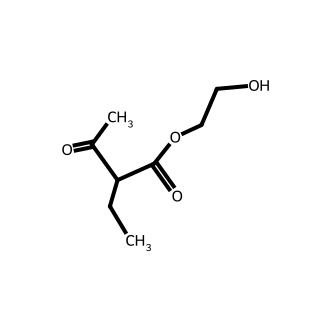 CCC(C(C)=O)C(=O)OCCO